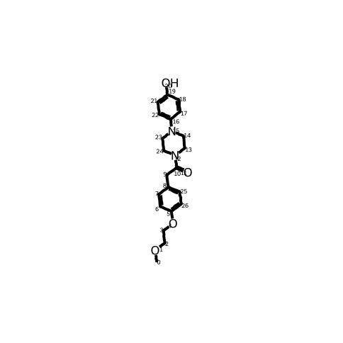 COCCOc1ccc(CC(=O)N2CCN(c3ccc(O)cc3)CC2)cc1